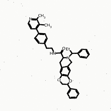 CCC(c1ccccc1)N1Cc2cc3c(cc2CC1C(=O)NCCc1ccc(-c2ccnc(C)c2C)cc1)OCC(c1ccccc1)O3